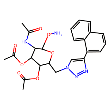 CC(=O)NC1C(ON)OC(Cn2cc(-c3cccc4ccccc34)nn2)C(OC(C)=O)C1OC(C)=O